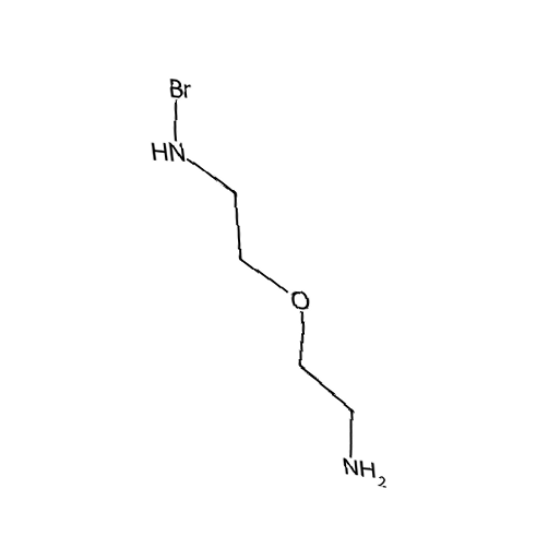 NCCOCCNBr